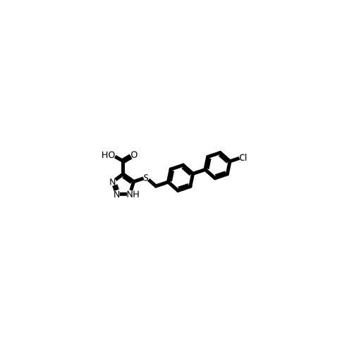 O=C(O)c1nn[nH]c1SCc1ccc(-c2ccc(Cl)cc2)cc1